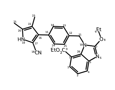 CCOC(=O)c1cccc2nc(OCC)n(Cc3ccc(-c4c(C#N)[nH]c(C)c4C)cc3)c12